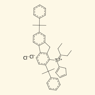 CC[C](CC)=[Ti+2]([C]1=CC=CC1)[c]1c(C(C)(C)c2ccccc2)ccc2c1Cc1cc(C(C)(C)c3ccccc3)ccc1-2.[Cl-].[Cl-]